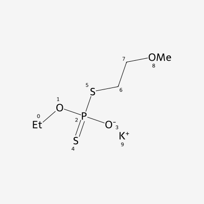 CCOP([O-])(=S)SCCOC.[K+]